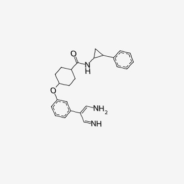 N=C/C(=C\N)c1cccc(OC2CCC(C(=O)NC3CC3c3ccccc3)CC2)c1